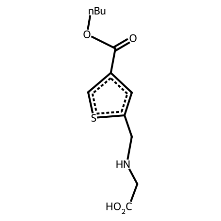 CCCCOC(=O)c1csc(CNCC(=O)O)c1